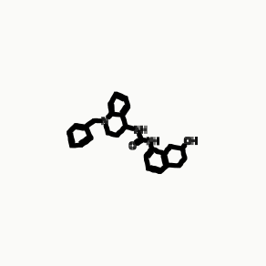 O=C(Nc1cccc2c1CC(O)CC2)NC1CCN(Cc2ccccc2)c2ccccc21